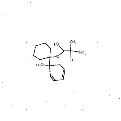 CCC(C)(N)C(O)OC1(C2(C)C=CC=CC2)CCCCC1